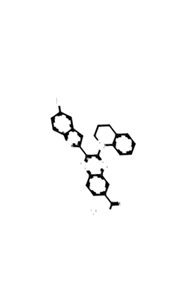 COC(=O)c1ccc2nc(-c3cc4cc(F)ccc4o3)c(N3CCCc4ccccc43)nc2c1